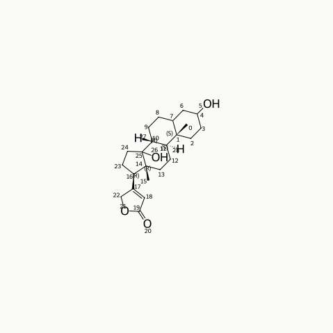 C[C@]12CCC(O)CC1CC[C@@H]1[C@@H]2CC[C@]2(C)[C@@H](C3=CC(=O)OC3)CCC12O